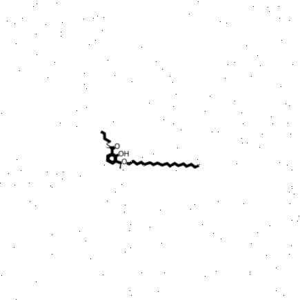 CCCCCCCCCCCCCCCCCCO[C@@H](C)c1cccc(C(=O)SCCCC)c1O